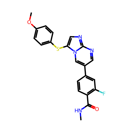 CNC(=O)c1ccc(-c2cnc3ncc(Sc4ccc(OC)cc4)n3c2)cc1F